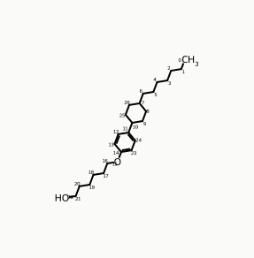 CCCCCCCC1CCC(c2ccc(OCCCCCCO)cc2)CC1